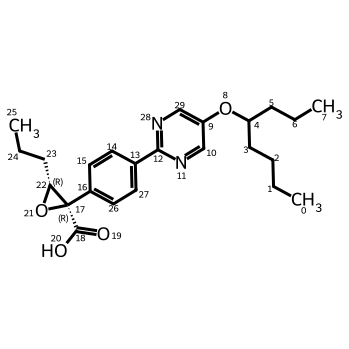 CCCCC(CCC)Oc1cnc(-c2ccc([C@@]3(C(=O)O)O[C@@H]3CCC)cc2)nc1